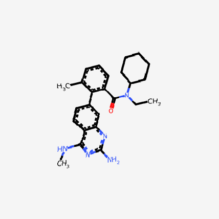 CCN(C(=O)c1cccc(C)c1-c1ccc2c(NC)nc(N)nc2c1)C1CCCCC1